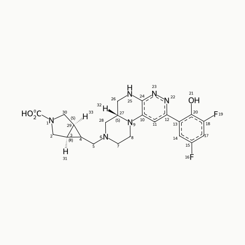 O=C(O)N1C[C@@H]2C(CN3CCN4c5cc(-c6cc(F)cc(F)c6O)nnc5NC[C@H]4C3)[C@@H]2C1